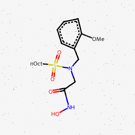 CCCCCCCCS(=O)(=O)N(CC(=O)NO)Cc1ccccc1OC